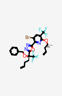 C=CCC[C@@](OCc1ccccc1)(c1nnc(-c2nc(O[C@H](C)CC=C)c(C(F)(F)F)cc2Br)o1)C(F)(F)F